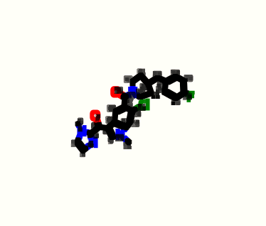 Cn1ccnc1C(=O)c1cn(C)c2cc(Cl)c(C(=O)N3CCC(Cc4ccc(F)cc4)CC3)cc12